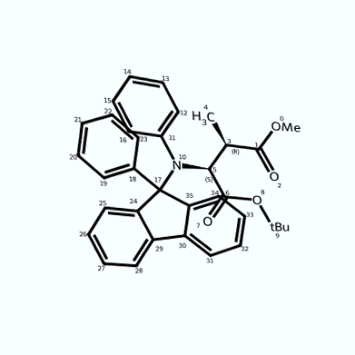 COC(=O)[C@H](C)[C@@H](C(=O)OC(C)(C)C)N(c1ccccc1)C1(c2ccccc2)c2ccccc2-c2ccccc21